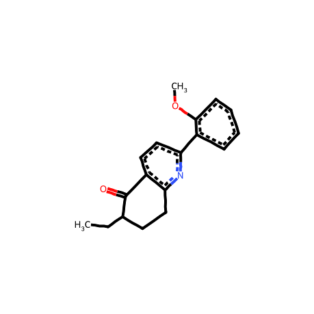 CCC1CCc2nc(-c3ccccc3OC)ccc2C1=O